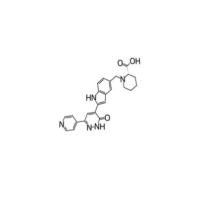 O=C(O)[C@@H]1CCCCN1Cc1ccc2[nH]c(-c3cc(-c4ccncc4)n[nH]c3=O)cc2c1